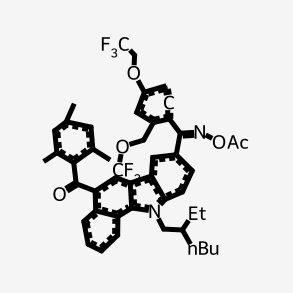 CCCCC(CC)Cn1c2ccc(/C(=N\OC(C)=O)c3ccc(OCC(F)(F)F)cc3COC(F)(F)F)cc2c2cc(C(=O)c3c(C)cc(C)cc3C)c3ccccc3c21